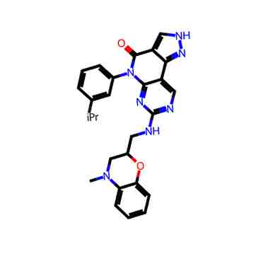 CC(C)c1cccc(-n2c(=O)c3c[nH]nc3c3cnc(NCC4CN(C)c5ccccc5O4)nc32)c1